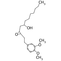 CCCCCCCC(O)CC1OC1CCc1ccc(OC)c(OC)c1